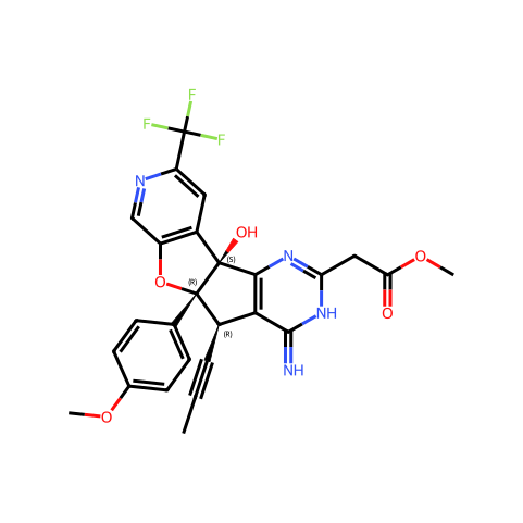 CC#C[C@@H]1c2c(nc(CC(=O)OC)[nH]c2=N)[C@@]2(O)c3cc(C(F)(F)F)ncc3O[C@@]12c1ccc(OC)cc1